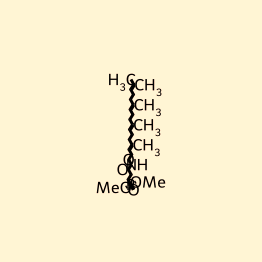 COP(=O)(CCC(=O)NOC/C=C(\C)CC/C=C(\C)CC/C=C(\C)CCC=C(C)C)OC